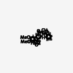 COc1ccc(C2(C3CCN(C(=O)C(C)NC(=O)c4ccccc4)CC3)N=CON2)cc1OC